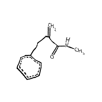 C=C(Cc1ccccc1)C(=O)NC